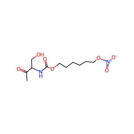 CC(=O)C(CO)NC(=O)OCCCCCCO[N+](=O)[O-]